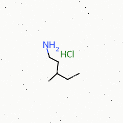 CCC(C)CCN.Cl